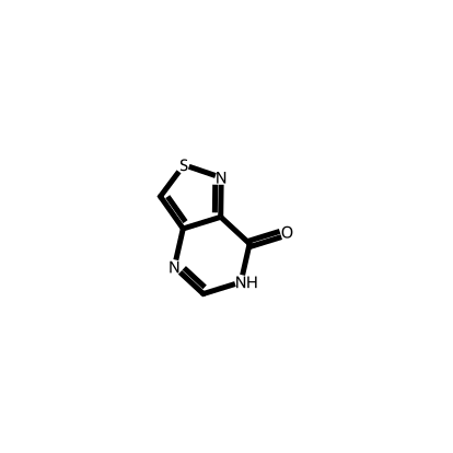 O=c1[nH]cnc2csnc12